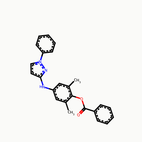 Cc1cc(Nc2ccn(-c3ccccc3)n2)cc(C)c1OC(=O)c1ccccc1